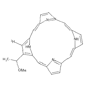 [2H]c1c(C(C)OC)c2cc3nc(cc4ccc(cc5nc(cc1[nH]2)C=C5)[nH]4)C=C3